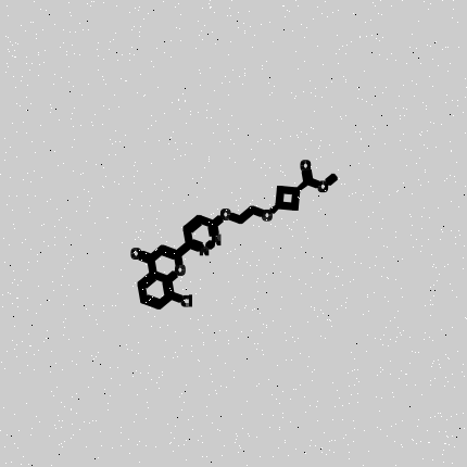 COC(=O)[C@H]1C[C@@H](OCCOc2ccc(-c3cc(=O)c4cccc(Cl)c4o3)nn2)C1